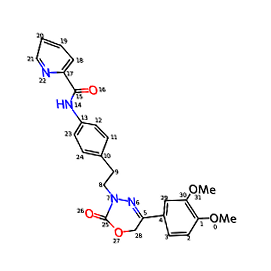 COc1ccc(C2=NN(CCc3ccc(NC(=O)c4ccccn4)cc3)C(=O)OC2)cc1OC